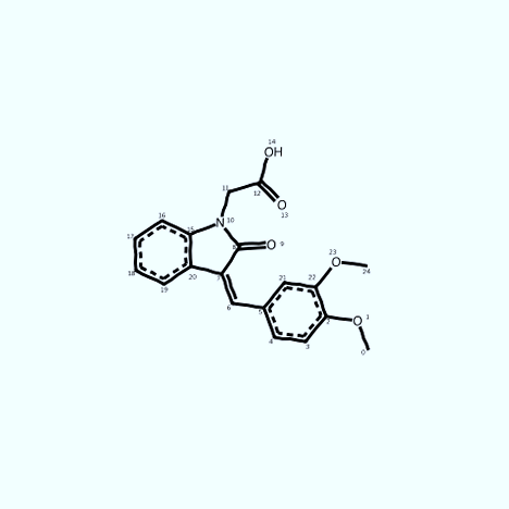 COc1ccc(C=C2C(=O)N(CC(=O)O)c3ccccc32)cc1OC